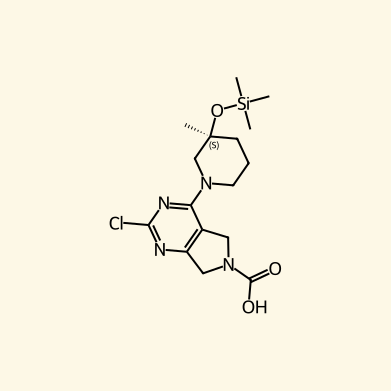 C[C@]1(O[Si](C)(C)C)CCCN(c2nc(Cl)nc3c2CN(C(=O)O)C3)C1